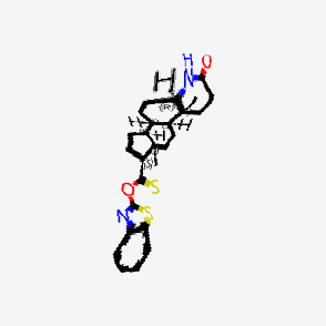 C[C@]12CCC(=O)N[C@@H]1CC[C@@H]1[C@@H]2CC[C@]2(C)[C@@H](C(=S)Oc3nc4ccccc4s3)CC[C@@H]12